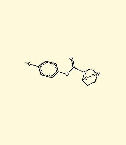 [11CH3]c1ccc(OC(=O)N2CCN3CCC2CC3)cc1